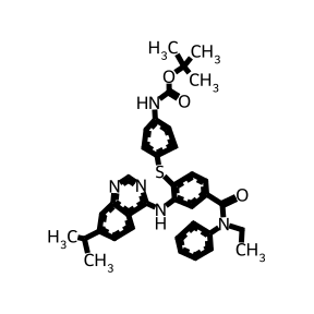 CCN(C(=O)c1ccc(Sc2ccc(NC(=O)OC(C)(C)C)cc2)c(Nc2ncnc3cc(C(C)C)ccc23)c1)c1ccccc1